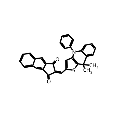 CC1(C)c2ccccc2N(c2ccccc2)c2cc(C=C3C(=O)c4cc5ccccc5cc4C3=O)sc21